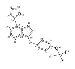 FC(F)(F)Oc1ccc(Cn2cnc3c(-c4ccco4)ncnc32)cc1